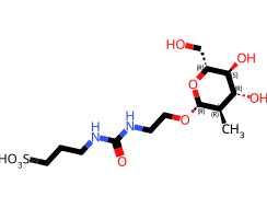 C[C@H]1[C@H](OCCNC(=O)NCCCS(=O)(=O)O)O[C@H](CO)[C@@H](O)[C@@H]1O